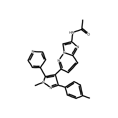 CC(=O)Nc1cn2nc(-c3c(-c4ccc(C)cc4)nn(C)c3-c3ccncc3)ccc2n1